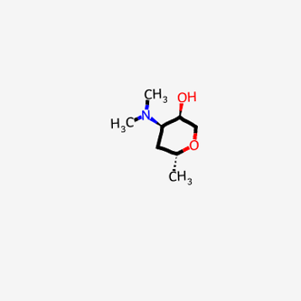 C[C@@H]1C[C@@H](N(C)C)[C@@H](O)CO1